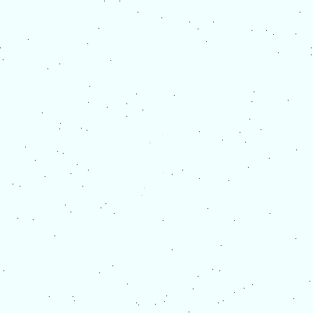 Fc1ccc([S][SnH])cc1